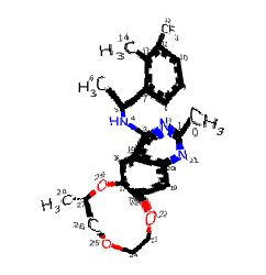 Cc1nc(NC(C)c2cccc(C(F)(F)F)c2C)c2cc3c(cc2n1)OCCOC[C@H](C)O3